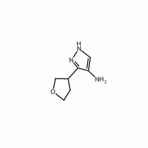 Nc1c[nH]nc1C1CCOC1